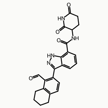 O=Cc1c(-c2n[nH]c3c(C(=O)NC4CCC(=O)NC4=O)cccc23)ccc2c1CCCC2